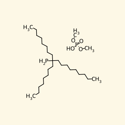 CCCCCCCCCC(P)(CCCCCCCC)CCCCCCCC.COP(=O)(O)OC